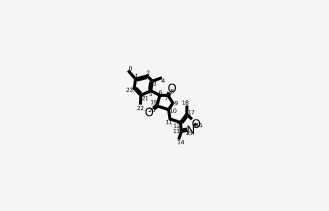 Cc1cc(C)c(C2C(=O)CC(Cc3c(C)noc3C)C2=O)c(C)c1